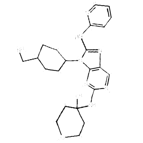 CC1(Nc2ncc3nc(Nc4ccccn4)n(C4CCC(CN)CC4)c3n2)CCOCC1